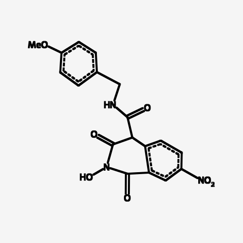 COc1ccc(CNC(=O)C2C(=O)N(O)C(=O)c3cc([N+](=O)[O-])ccc32)cc1